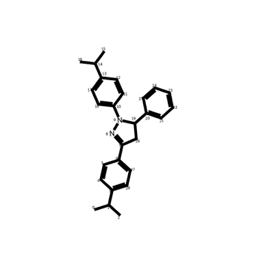 CC(C)c1ccc(C2=NN(c3ccc(C(C)C)cc3)C(c3ccccc3)C2)cc1